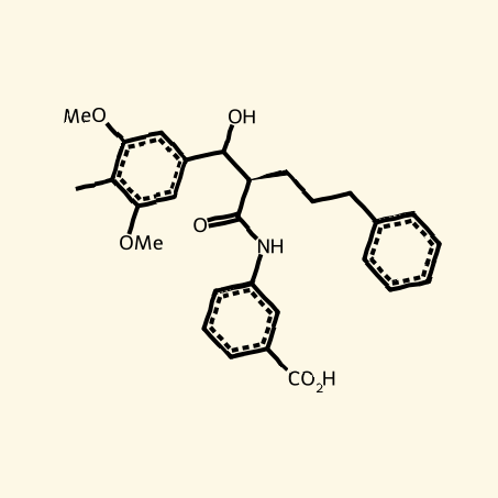 COc1cc(C(O)[C@@H](CCCc2ccccc2)C(=O)Nc2cccc(C(=O)O)c2)cc(OC)c1C